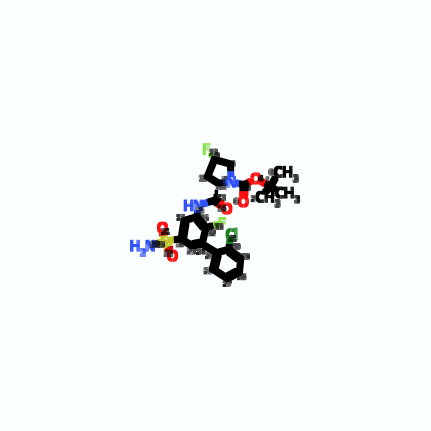 CC(C)(C)OC(=O)N1C[C@H](F)C[C@H]1C(=O)Nc1cc(S(N)(=O)=O)cc(-c2ccccc2Cl)c1F